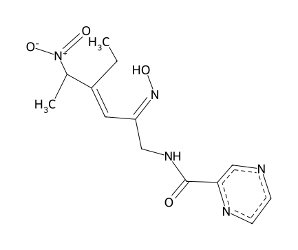 CCC(=CC(CNC(=O)c1cnccn1)=NO)C(C)[N+](=O)[O-]